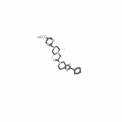 C[C@@H]1CN(c2ncc(C(=O)O)cn2)C[C@H](C)N1CC(=O)N1CCc2nc(-c3ccccc3)sc2C1